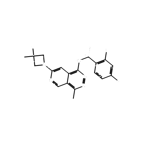 Cc1nnc(N[C@H](C)c2ccc(F)cc2F)c2cc(N3CC(C)(O)C3)ncc12